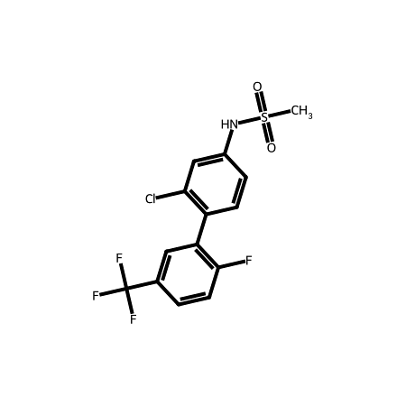 CS(=O)(=O)Nc1ccc(-c2cc(C(F)(F)F)ccc2F)c(Cl)c1